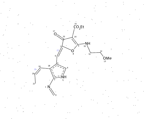 C=Nc1[nH]cc(/C=C2\OC(NCCOC)=C(C(=O)OCC)C2=O)c1/C=C\C